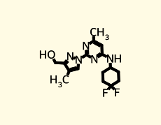 Cc1cc(NC2CCC(F)(F)CC2)nc(-n2cc(C)c(CO)n2)n1